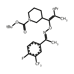 CCC/C(C)=C(/O/N=C(\C)c1ccc(F)c(C(F)(F)F)c1)C1CCCN(C(=O)OC(C)(C)C)C1